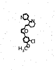 COc1ccc(-c2ccc(C=C3CCCN=C3c3cccnc3)o2)cc1Cl